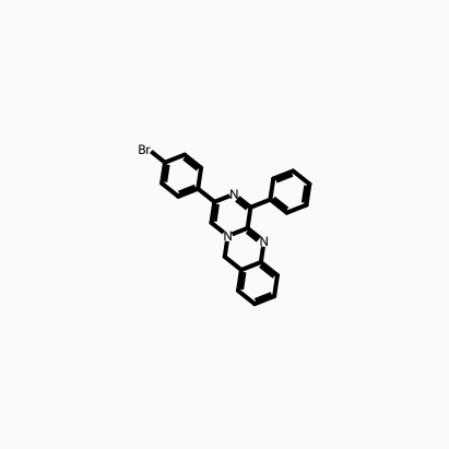 Brc1ccc(C2=CN3Cc4ccccc4N=C3C(c3ccccc3)=N2)cc1